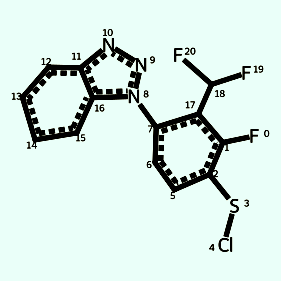 Fc1c(SCl)ccc(-n2nnc3ccccc32)c1C(F)F